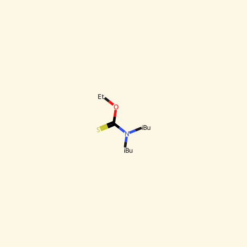 CCOC(=S)N(C(C)CC)C(C)CC